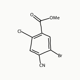 COC(=O)c1cc(Br)c(C#N)cc1Cl